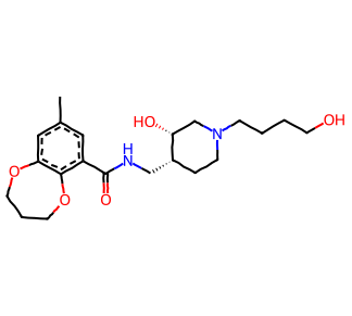 Cc1cc2c(c(C(=O)NC[C@H]3CCN(CCCCO)C[C@H]3O)c1)OCCCO2